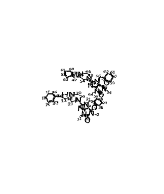 Cn1c(=O)c2c(nc(N3CCNC(CCc4ccccc4)C3)n2Cc2ccccc2)n(C)c1=O.Cn1c(=O)c2c(nc(N3CCN[C@@H](Cc4ccccc4)C3)n2Cc2ccccc2)n(C)c1=O